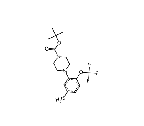 CC(C)(C)OC(=O)N1CCN(c2cc(N)ccc2OC(F)(F)F)CC1